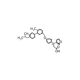 Cc1ccc(COc2ccc([C@H](CC(=O)O)c3ccon3)cc2)cc1-c1ccc(CC(C)C)cc1